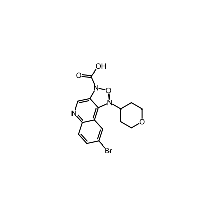 O=C(O)N1ON(C2CCOCC2)c2c1cnc1ccc(Br)cc21